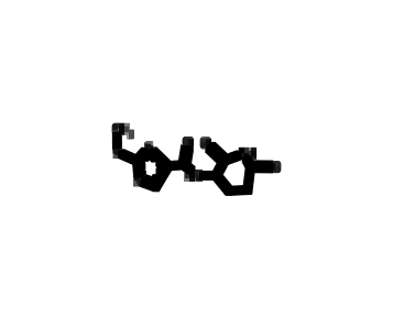 CSc1ncc(C(=O)NC2CCC(=O)NC2=O)s1